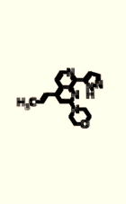 CC=Cc1cc(N2CCOCC2)nc2c(-c3ccn[nH]3)nccc12